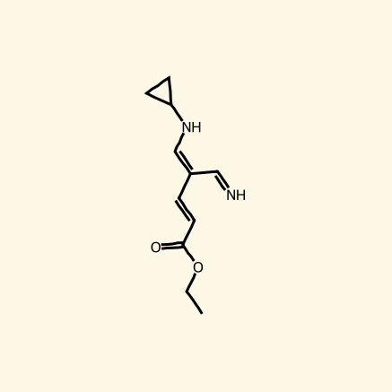 CCOC(=O)/C=C/C(C=N)=C/NC1CC1